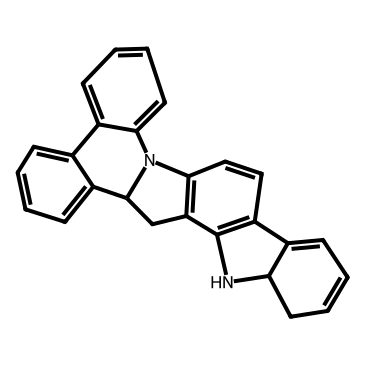 C1=CCC2Nc3c(ccc4c3CC3c5ccccc5-c5ccccc5N43)C2=C1